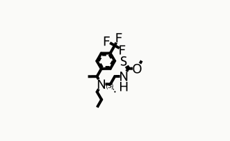 CCCN(C(C)c1ccc(C(F)(F)F)cc1)[C@@H](C)CNC(=S)OC